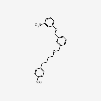 CCCCc1ccc(CCCCOCc2cccc(COc3cccc([N+](=O)[O-])c3)n2)cc1